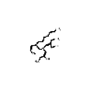 C/C=C\C(CCCCCCC)CN(C=C(CC)CC)/C=C(/C)CC